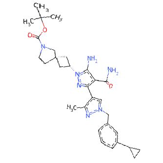 Cc1nn(Cc2cccc(C3CC3)c2)cc1-c1nn([C@H]2C[C@@]3(CCN(C(=O)OC(C)(C)C)C3)C2)c(N)c1C(N)=O